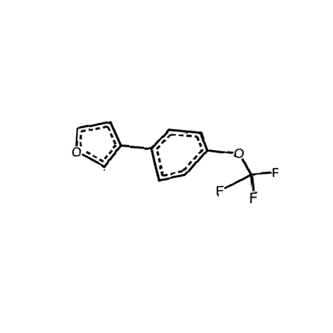 FC(F)(F)Oc1ccc(-c2[c]occ2)cc1